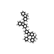 CC1(C)c2ccccc2-c2cc(-n3c4ccccc4c4cc(-c5ccc6c(c5)c5ccc7c(c5n6-c5ccccc5)-c5ccccc5C7(C)C)ccc43)ccc21